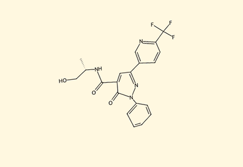 C[C@@H](CO)NC(=O)c1cc(-c2ccc(C(F)(F)F)nc2)nn(-c2ccccc2)c1=O